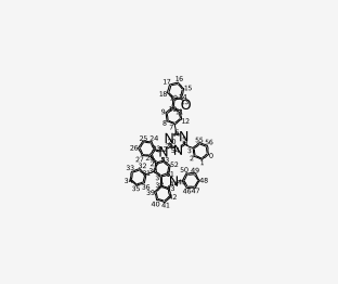 c1ccc(-c2nc(-c3ccc4c(c3)oc3ccccc34)nc(-n3c4ccccc4c4c(-c5ccccc5)c5c6ccccc6n(-c6ccccc6)c5cc43)n2)cc1